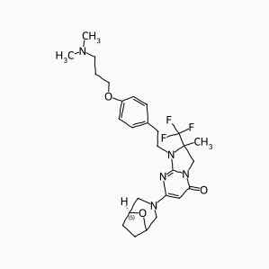 CN(C)CCCOc1ccc(CCN2c3nc(N4CC5CC[C@@H](C4)O5)cc(=O)n3CC2(C)C(F)(F)F)cc1